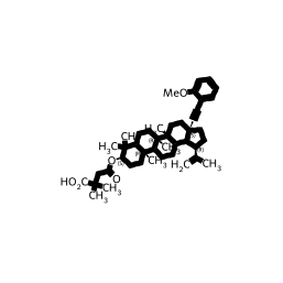 C=C(C)[C@@H]1CC[C@]2(C#Cc3ccccc3OC)CC[C@]3(C)C(CCC4[C@@]5(C)CC[C@H](OC(=O)CC(C)(C)C(=O)O)C(C)(C)C5CC[C@]43C)C12